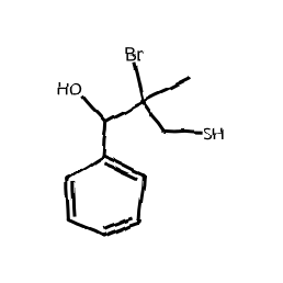 CC(Br)(CS)C(O)c1ccccc1